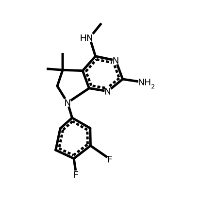 CNc1nc(N)nc2c1C(C)(C)CN2c1ccc(F)c(F)c1